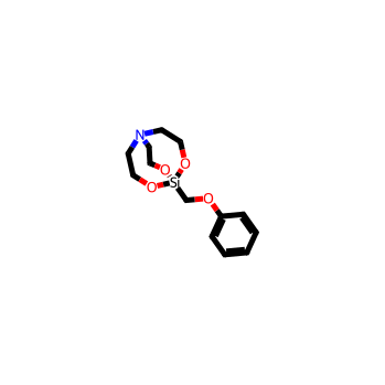 c1ccc(OC[Si]23OCCN(CCO2)CCO3)cc1